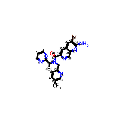 CCC(c1ncccn1)N(Cc1ccc(C(F)(F)F)cn1)C(=O)c1cc2cc(Br)c(N)nc2cn1